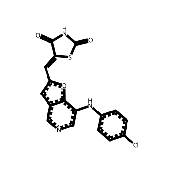 O=C1NC(=O)C(=Cc2cc3cncc(Nc4ccc(Cl)cc4)c3o2)S1